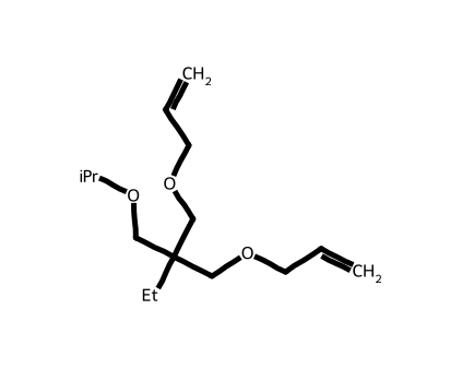 C=CCOCC(CC)(COCC=C)COC(C)C